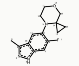 Cc1n[nH]c2cc(F)c(N3CCOCC34CC4)cc12